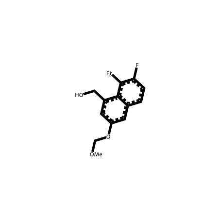 CCc1c(F)ccc2cc(OCOC)cc(CO)c12